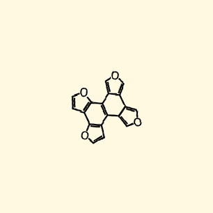 c1cc2c(o1)c1ccoc1c1c3cocc3c3cocc3c21